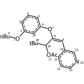 CCCCOc1cccc(OC(=Cc2cccnc2)C(OC(C)=O)C(C)(C)C)c1